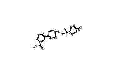 CC(C)(CNc1ccc(-c2cccc(C(N)=O)c2)nn1)c1ccc(Cl)cc1